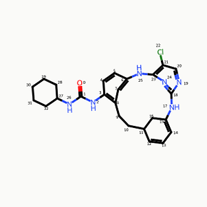 O=C(Nc1ccc2cc1CCC1C=CC=C(C1)Nc1ncc(Cl)c(n1)N2)NC1CCCCC1